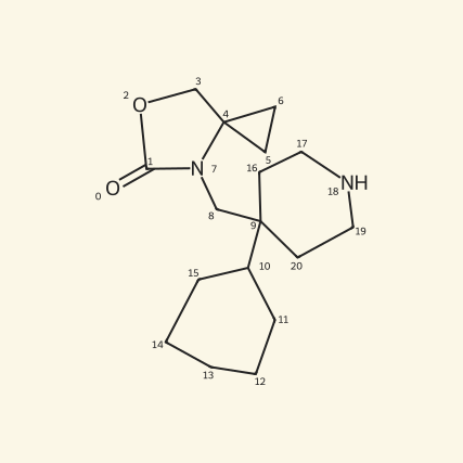 O=C1OCC2(CC2)N1CC1(C2CCCCC2)CCNCC1